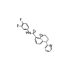 O=C(Nc1ccc(F)c(F)c1)c1cccc2c1OCCC2c1ccccn1